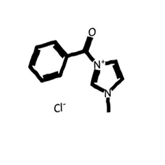 Cn1cc[n+](C(=O)c2ccccc2)c1.[Cl-]